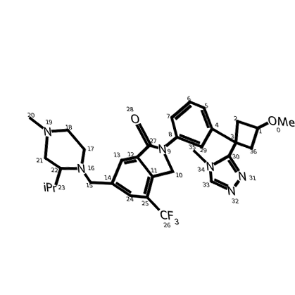 COC1CC(c2cccc(N3Cc4c(cc(CN5CCN(C)CC5C(C)C)cc4C(F)(F)F)C3=O)c2)(c2nncn2C)C1